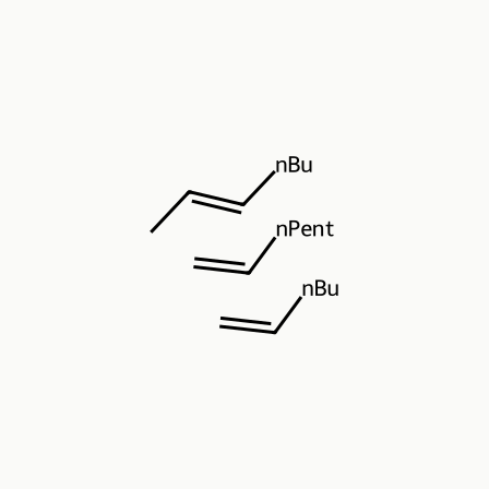 C=CCCCC.C=CCCCCC.CC=CCCCC